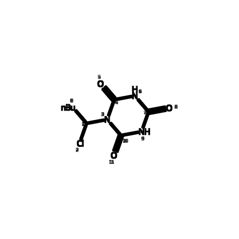 CCCCC(Cl)n1c(=O)[nH]c(=O)[nH]c1=O